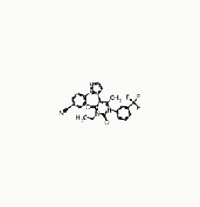 CCn1c(=O)c(-c2ccnn2-c2ccc(C#N)cc2)c(C)n(-c2cccc(C(F)(F)F)c2)c1=O